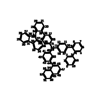 c1ccc(-c2ccccc2-c2ccc(N(c3ccc(-c4ccccc4-n4c5ccccc5c5ccccc54)cc3)c3cccc(-c4cccc5ccccc45)c3)cc2)cc1